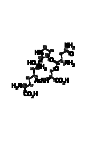 CC(=O)N[C@@H](COC(=O)[C@@H](N)CC(N)=O)C(=O)O.NCCCC[C@H](N)C(=O)O.O=C(O)[C@@H]1CCCN1